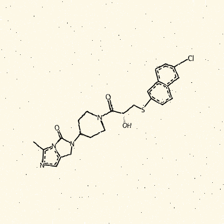 Cc1ncc2n1C(=O)N(C1CCN(C(=O)[C@@H](O)CSc3ccc4cc(Cl)ccc4c3)CC1)C2